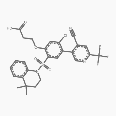 CC1(C)CCN(S(=O)(=O)c2cc(-c3cnc(C(F)(F)F)cc3C#N)c(Cl)cc2OCCC(=O)O)c2ccccc21